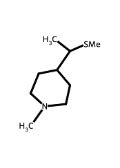 CSC(C)C1CCN(C)CC1